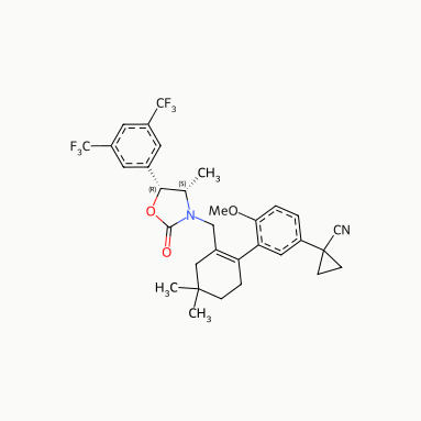 COc1ccc(C2(C#N)CC2)cc1C1=C(CN2C(=O)O[C@H](c3cc(C(F)(F)F)cc(C(F)(F)F)c3)[C@@H]2C)CC(C)(C)CC1